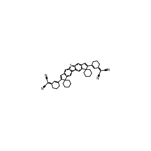 N#CC(C#N)=C1C=C(C2=Cc3cc4sc5cc6c(cc5c4cc3C23CCCCC3)C2(CCCCC2)C(C2=CC(=C(C#N)C#N)CCC2)=C6)CCC1